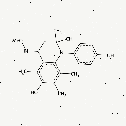 CONC1CC(C)(C)N(c2ccc(O)cc2)c2c(C)c(C)c(O)c(C)c21